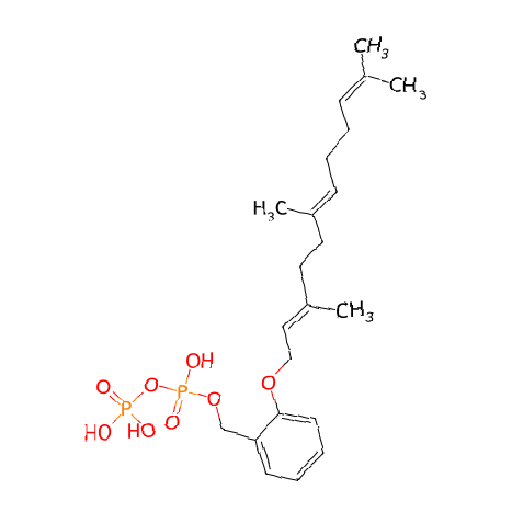 CC(C)=CCC/C=C(\C)CC/C(C)=C/COc1ccccc1COP(=O)(O)OP(=O)(O)O